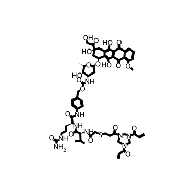 C=CC(=O)N1CN(C(=O)C=C)CN(C(=O)CCSCC(=O)N[C@H](C(=O)N[C@@H](CCCNC(N)=O)C(=O)Nc2ccc(COC(=O)N[C@H]3CC(O[C@H]4C[C@](O)(C(=O)CO)Cc5c(O)c6c(c(O)c54)C(=O)c4c(OC)cccc4C6=O)O[C@@H](C)[C@@H]3O)cc2)C(C)C)C1